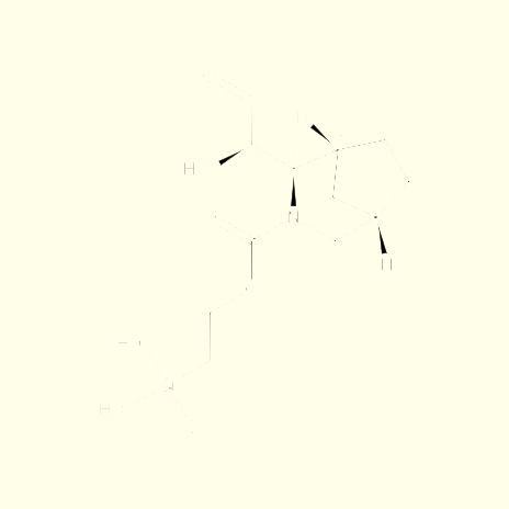 C[C@@H](C=O)[C@H]1[C@@H]2CC[C@@H](C2)CN1C(=O)OCC[Si](C)(C)C